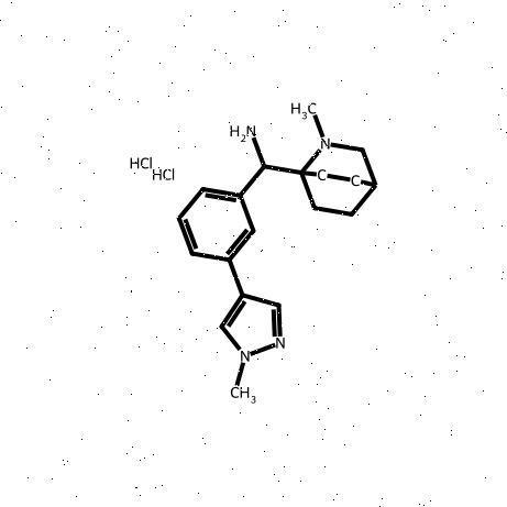 CN1CC2CCC1(C(N)c1cccc(-c3cnn(C)c3)c1)CC2.Cl.Cl